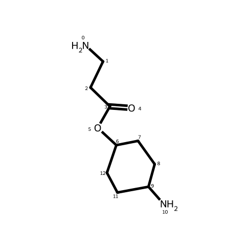 NCCC(=O)OC1CCC(N)CC1